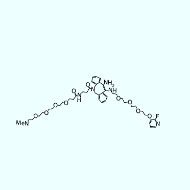 CNCCOCCOCCOCCOCCC(=O)NCCC(=O)N1Cc2ccccc2/C(NCCOCCOCCOCCOc2cccnc2F)=C(/N)c2ccccc21